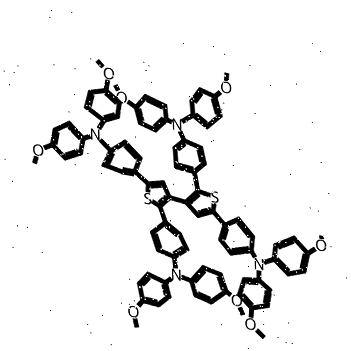 COc1ccc(N(c2ccc(OC)cc2)c2ccc(-c3cc(-c4cc(-c5ccc(N(c6ccc(OC)cc6)c6ccc(OC)cc6)cc5)sc4-c4ccc(N(c5ccc(OC)cc5)c5ccc(OC)cc5)cc4)c(-c4ccc(N(c5ccc(OC)cc5)c5ccc(OC)cc5)cc4)s3)cc2)cc1